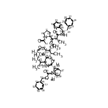 CC[C@H](C)[C@@H]([C@@H](CC(=O)N1CCC[C@H]1[C@H](OC)[C@@H](C)C(=O)N[C@@H](Cc1ccccc1)c1nccs1)OC)N(C)C(=O)[C@@H](NC(=O)[C@@H]1[C@H]2CC[C@H](C2)N1C(=O)OCc1ccccc1)C(C)C